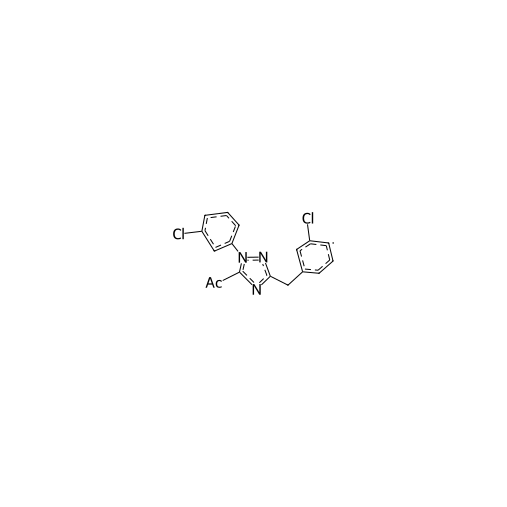 CC(=O)c1nc(Cc2cc[c]c(Cl)c2)nn1-c1cccc(Cl)c1